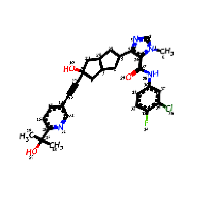 Cn1cnc(C2CC3CC(O)(C#Cc4ccc(C(C)(C)O)nc4)CC3C2)c1C(=O)Nc1ccc(F)c(Cl)c1